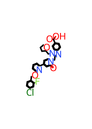 O=C(O)c1ccc2nc(Cn3ccc(-c4cccc(OCc5ccc(Cl)cc5F)n4)cc3=O)n(CC3CCCO3)c2c1